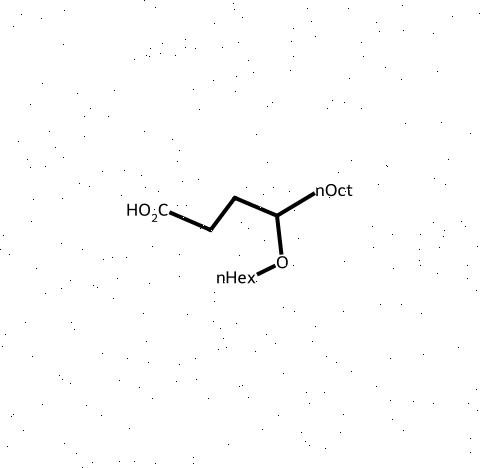 CCCCCCCCC(CCC(=O)O)OCCCCCC